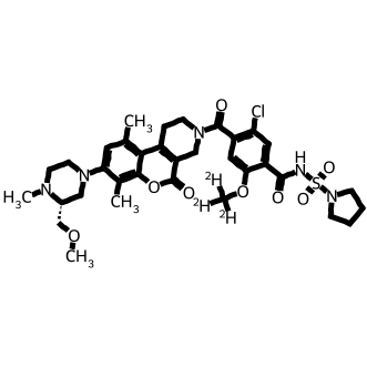 [2H]C([2H])([2H])Oc1cc(C(=O)N2CCc3c(c(=O)oc4c(C)c(N5CCN(C)[C@@H](COC)C5)cc(C)c34)C2)c(Cl)cc1C(=O)NS(=O)(=O)N1CCCC1